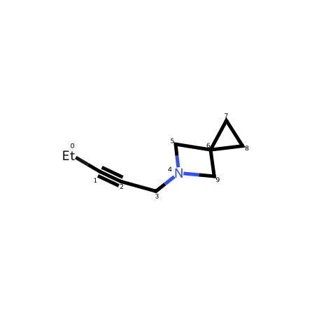 CCC#CCN1CC2(CC2)C1